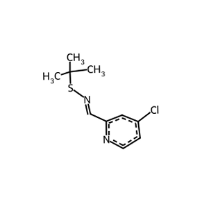 CC(C)(C)SN=Cc1cc(Cl)ccn1